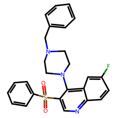 O=S(=O)(c1ccccc1)c1cnc2ccc(F)cc2c1N1CCN(Cc2ccccc2)CC1